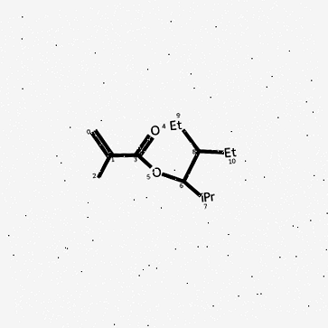 C=C(C)C(=O)OC(C(C)C)C(CC)CC